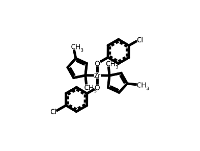 CC1=C[C](C)([Zr]([O]c2ccc(Cl)cc2)([O]c2ccc(Cl)cc2)[C]2(C)C=CC(C)=C2)C=C1